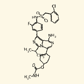 CNC(=O)OC1CC=C(c2cnc(N)c3c(-c4ccc(NS(=O)(=O)Cc5ccccc5Cl)c(F)c4)nc(C(C)C)n23)CC1